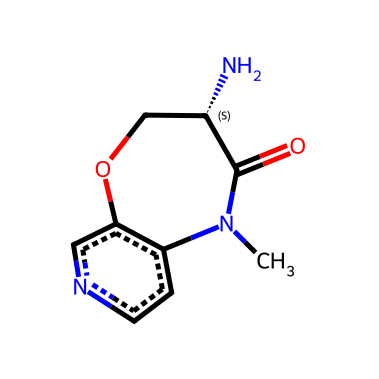 CN1C(=O)[C@@H](N)COc2cnccc21